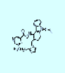 Cc1cncc(C(=O)ON=C2c3c(n(C)c4ccccc34)CCC2Cn2ccnc2C)n1